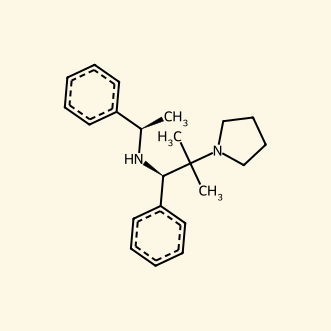 C[C@@H](N[C@H](c1ccccc1)C(C)(C)N1CCCC1)c1ccccc1